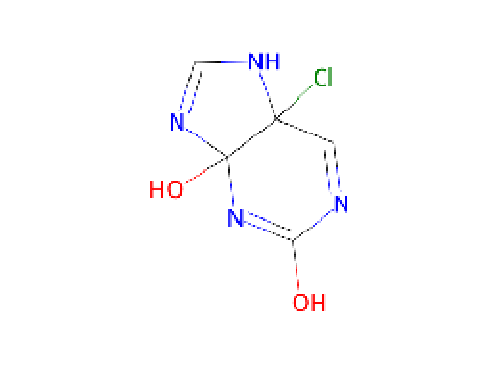 OC1=NC2(O)N=CNC2(Cl)C=N1